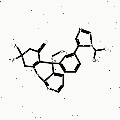 CC[C@@]1(c2cccc(-c3cncn3C(C)C)c2)C2=C(CC(C)(C)CC2=O)Nc2ncccc21